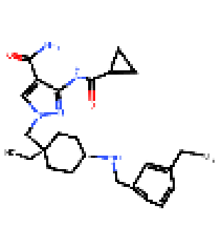 N#CC[C@]1(Cn2cc(C(N)=O)c(NC(=O)C3CC3)n2)CC[C@H](NCc2cccc(CC(F)(F)F)c2)CC1